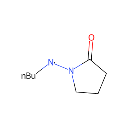 CCCC[N]N1CCCC1=O